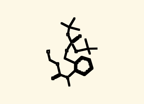 CN(C(=O)OCCl)c1ccccc1COP(=O)(OC(C)(C)C)OC(C)(C)C